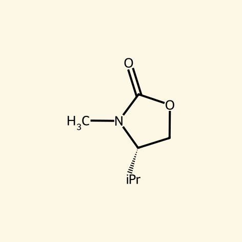 CC(C)[C@H]1COC(=O)N1C